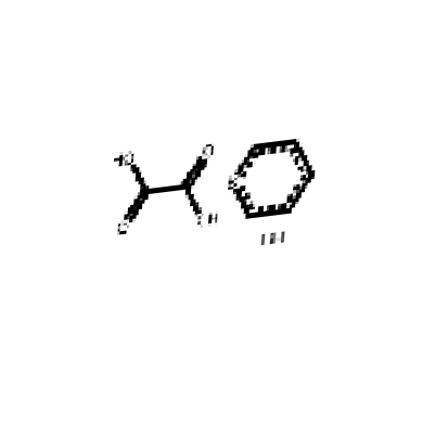 O=C(O)C(=O)O.[LiH].b1ccccc1